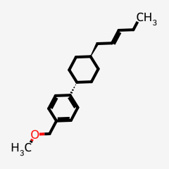 CCC=CC[C@H]1CC[C@H](c2ccc(COC)cc2)CC1